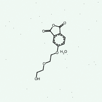 O.O=C1OC(=O)c2cc(OCCOCCO)ccc21